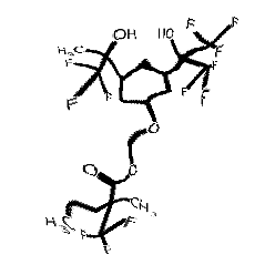 CCC(C)(C(=O)OCOC1CC(C(C)(O)C(F)(F)F)CC(C(O)(C(F)(F)F)C(F)(F)F)C1)C(F)(F)F